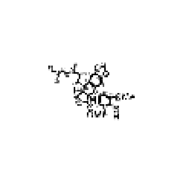 COc1cc([C@H]2c3cc4c(cc3[C@H](CCN(C)CCN(C)C)[C@@H]3COC(=O)[C@@H]23)OCO4)cc(OC)c1O